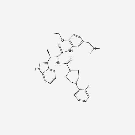 CCOc1ccc(CN(C)C)cc1NC(=O)[C@H](NC(=O)N1CCN(c2ccccc2C)CC1)[C@H](C)c1c[nH]c2ccccc12